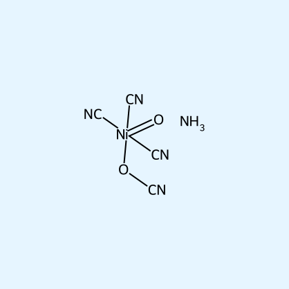 N.N#C[O][Ni](=[O])([C]#N)([C]#N)[C]#N